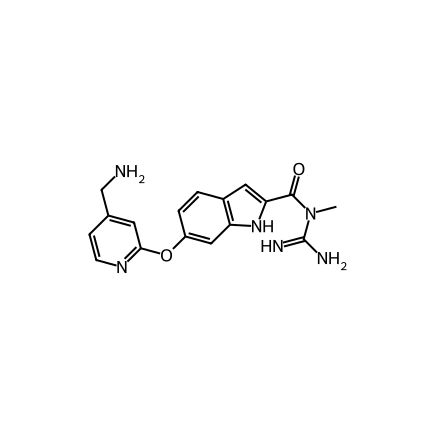 CN(C(=N)N)C(=O)c1cc2ccc(Oc3cc(CN)ccn3)cc2[nH]1